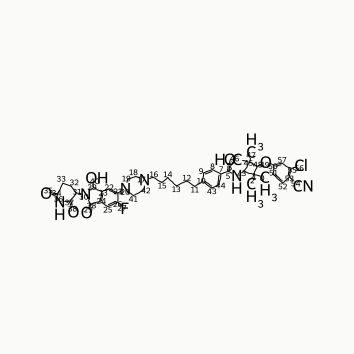 CC1(C)C(NC(=O)c2ccc(CCCCCCN3CCN(c4cc5c(cc4F)C(=O)N(C4CCC(=O)NC4=O)C5O)CC3)cc2)C(C)(C)C1Oc1ccc(C#N)c(Cl)c1